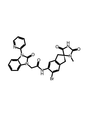 CN1C(=O)NC(=O)[C@]12Cc1cc(Br)c(NC(=O)Cn3c(=O)n(-c4ccccn4)c4ccccc43)cc1C2